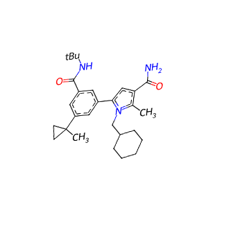 Cc1c(C(N)=O)cc(-c2cc(C(=O)NC(C)(C)C)cc(C3(C)CC3)c2)n1CC1CCCCC1